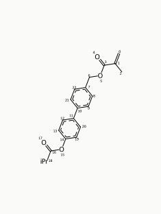 C=C(C)C(=O)OCc1ccc(-c2ccc(OC(=O)C(C)C)cc2)cc1